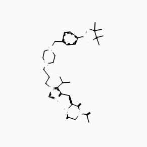 CC(=O)N1CC(=O)N/C(=C\c2ncn(CCCN3CCN(Cc4ccc(B5OC(C)(C)C(C)(C)O5)cc4)CC3)c2C(C)C)C1=O